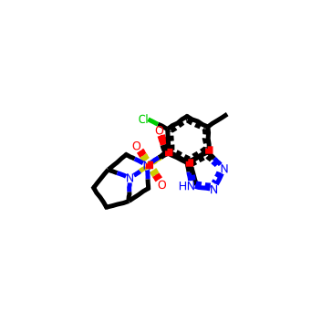 Cc1cc(C)c(S(=O)(=O)N2C3CCC2CN(C(=O)c2cnn[nH]2)C3)c(Cl)c1